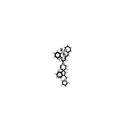 O=C(CCCC1CCCCN1S(=O)(=O)c1ccccc1C(F)(F)F)N1CCC(CCCN2CCCC2)(c2ccncc2)CC1